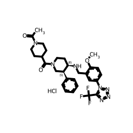 COc1ccc(-n2nnnc2C(F)(F)F)cc1CN[C@@H]1CCN(C(=O)C2CCN(C(C)=O)CC2)C[C@@H]1c1ccccc1.Cl